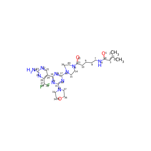 CC(C)=CC(=O)NCCCCC(=O)N1CCN(c2nc(-c3cnc(N)nc3C(F)F)nc(N3CCOCC3)n2)CC1